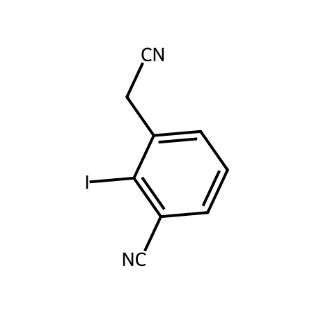 N#CCc1cccc(C#N)c1I